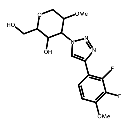 COc1ccc(-c2cn(C3C(OC)COC(CO)C3O)nn2)c(F)c1F